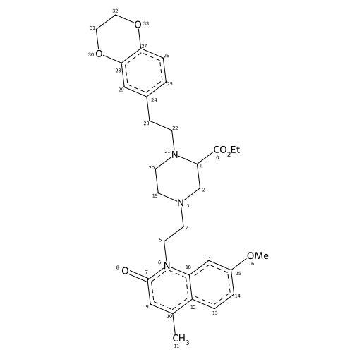 CCOC(=O)C1CN(CCn2c(=O)cc(C)c3ccc(OC)cc32)CCN1CCc1ccc2c(c1)OCCO2